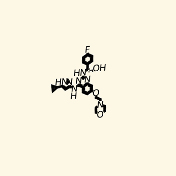 OC[C@H](Nc1nc(Nc2cc(C3CC3)[nH]n2)c2ccc(OCCN3CCOCC3)cc2n1)c1ccc(F)cc1